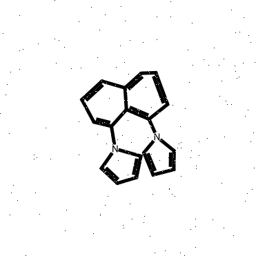 c1cc(-n2cccc2)c2c(-n3cccc3)cccc2c1